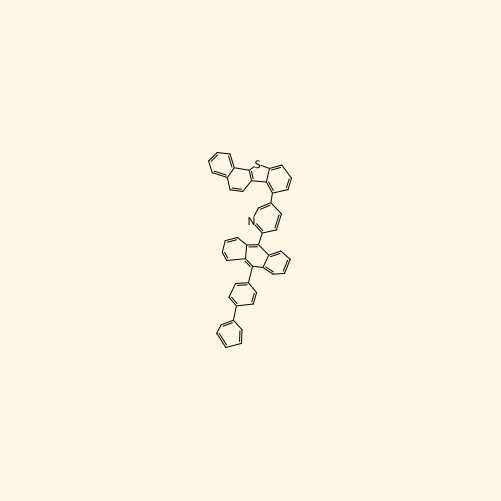 c1ccc(-c2ccc(-c3c4ccccc4c(-c4ccc(-c5cccc6sc7c8ccccc8ccc7c56)cn4)c4ccccc34)cc2)cc1